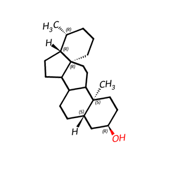 C[C@@H]1CCC[C@]23CCC4C(CC[C@H]5C[C@H](O)CC[C@]45C)C2CC[C@H]13